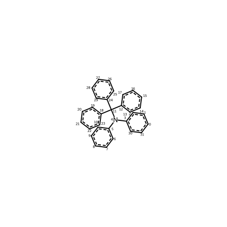 c1ccc(N(c2ccccc2)C(c2ccccc2)(c2ccccc2)c2ccccc2)cc1